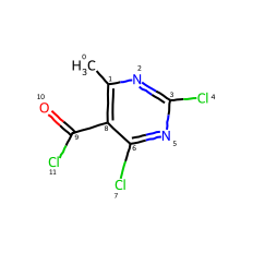 Cc1nc(Cl)nc(Cl)c1C(=O)Cl